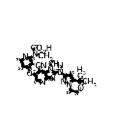 CN(C(=O)O)c1cc(Oc2cnc3nc(Nc4cc5n(n4)CCOC5(C)C)n(C)c3c2C#N)ccn1